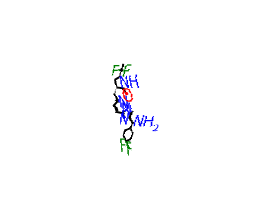 CC(F)(F)[C@@H]1C[C@@H](Cc2ccc3nc([C@@H](N)C4CCC(F)(F)CC4)cn3n2)C(=O)N1